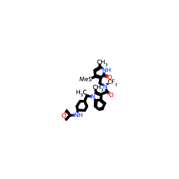 CSc1cc(C)[nH]c(=O)c1CN(C(=O)c1c(C)n([C@H](C)C2CCC(NC3COC3)CC2)c2ccccc12)C(F)(F)F